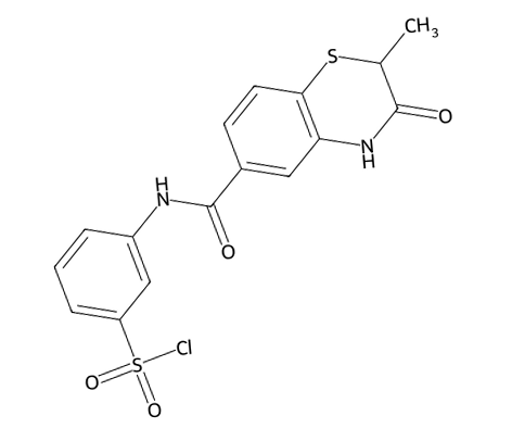 CC1Sc2ccc(C(=O)Nc3cccc(S(=O)(=O)Cl)c3)cc2NC1=O